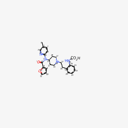 Cc1ccc(N(C(=O)c2ccco2)C2CCN(CCc3ccccc3NC(=O)O)CC2)nc1